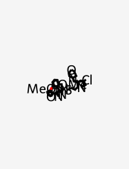 COc1cccc(OC)c1-n1c(NSCCc2ncc(Cl)cc2CN2CCOCC2)nnc1-c1ccco1